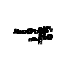 CCCCNc1cc(C(=O)OCc2ccc(OC)cc2)c(S(N)(=O)=O)cc1Oc1ccccc1